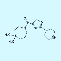 CC1(C)CCCN(C(=O)c2csc(C3CCNCC3)c2)CC1